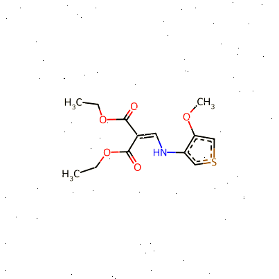 CCOC(=O)C(=CNc1cscc1OC)C(=O)OCC